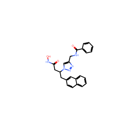 O=C(CC(Cc1ccc2ccccc2c1)n1cc(CNC(=O)c2ccccc2)nn1)NO